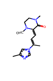 C/C(=C\C=C1\C(=O)N(C)CCN1C=O)n1cnc(C)c1